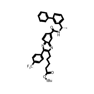 C[C@H](NC(=O)c1ccc2nc(-c3ccc(C(F)(F)F)cc3)c(CCCCC(=O)OC(C)(C)C)nc2c1)c1cccc(-c2ccccc2)c1